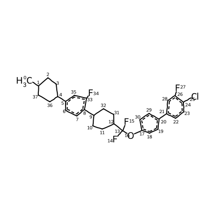 CC1CCC(c2ccc(C3CCC(C(F)(F)Oc4ccc(-c5ccc(Cl)c(F)c5)cc4)CC3)c(F)c2)CC1